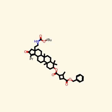 CC(C)C1=C2C3CCC4C(C)(CCC5C(C)(C)C(OC(=O)C6CC(C(=O)OCc7ccccc7)C6C)CCC54C)C3CCC2(CCNC(=O)OC(C)(C)C)CC1=O